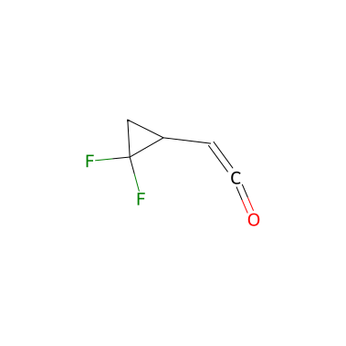 O=C=CC1CC1(F)F